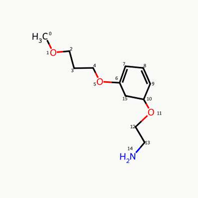 COCCCOC1=CC=CC(OCCN)C1